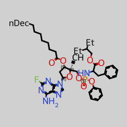 C#C[C@]1(CO[P@@](=O)(NC(Cc2ccccc2)C(=O)OCC(CC)CC)Oc2ccccc2)O[C@@H](n2cnc3c(N)nc(F)nc32)C[C@@H]1OC(=O)CCCCCCCCCCCCCCCCC